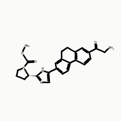 BCC(=O)c1ccc2c(c1)CCc1cc(-c3cnc([C@@H]4CCCN4C(=O)OC(C)(C)C)[nH]3)ccc1-2